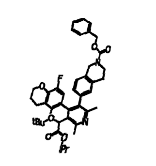 Cc1nc(C)c(C(OC(C)(C)C)C(=O)OC(C)C)c(-c2cc(F)c3c(c2C)CCCO3)c1-c1ccc2c(c1)CCN(C(=O)OCc1ccccc1)C2